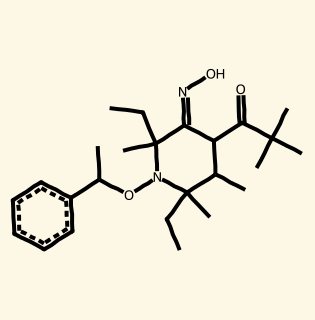 CCC1(C)/C(=N/O)C(C(=O)C(C)(C)C)C(C)C(C)(CC)N1OC(C)c1ccccc1